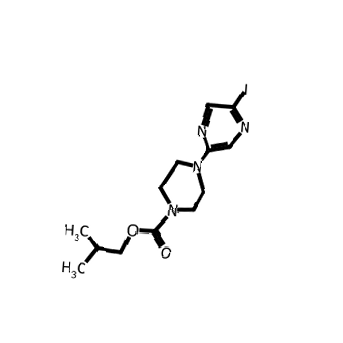 CC(C)COC(=O)N1CCN(c2cnc(I)cn2)CC1